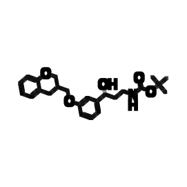 CC(C)(C)OC(=O)NCC[C@@H](O)c1cccc(OCC2COc3ccccc3C2)c1